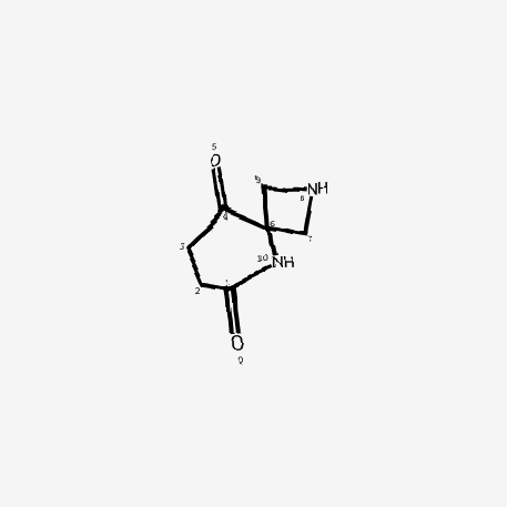 O=C1CCC(=O)C2(CNC2)N1